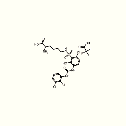 NC(CCCCNS(=O)(=O)c1c(Cl)ccc(NC(=O)Nc2cccc(Cl)c2Cl)c1O)C(=O)O.O=C(O)C(F)(F)F